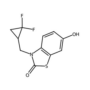 O=c1sc2cc(O)ccc2n1CC1CC1(F)F